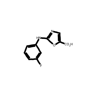 O=C(O)c1cnc(Nc2cccc(F)c2)o1